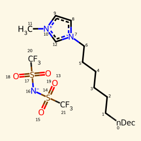 CCCCCCCCCCCCCCCCn1cc[n+](C)c1.O=S(=O)([N-]S(=O)(=O)C(F)(F)F)C(F)(F)F